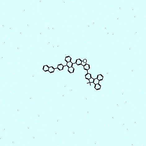 CC1(C)c2ccc(-c3ccc4oc5ccc(-c6c7ccccc7c(-c7ccc(-c8ccc9ccccc9c8)cc7)c7ccccc67)cc5c4c3)cc2-c2c1c1ccccc1c1ccccc21